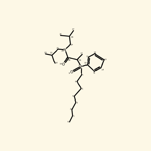 CCCCCCCCP(=O)(c1ccccc1)C(C)C(=O)N(CC(C)C)CC(C)C